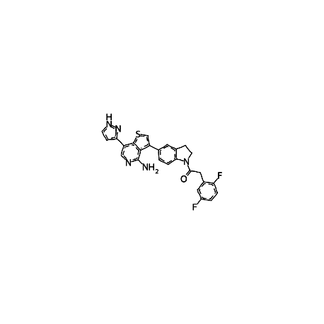 Nc1ncc(-c2cc[nH]n2)c2scc(-c3ccc4c(c3)CCN4C(=O)Cc3cc(F)ccc3F)c12